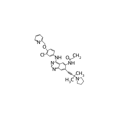 C=CC(=O)Nc1cc2c(Nc3ccc(OCc4ccccn4)c(Cl)c3)ncnc2cc1C#CC(C)(C)N1CCCC1